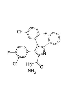 NNC(=O)c1nc(-c2ccccc2)n(-c2cc(Cl)ccc2F)c1-c1ccc(F)c(Cl)c1